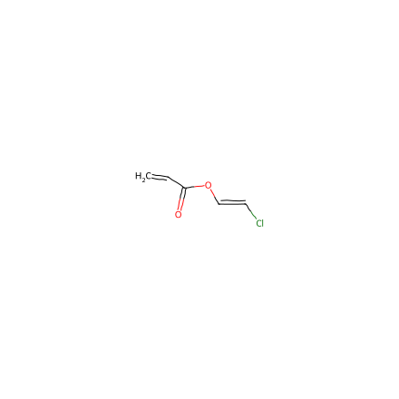 C=CC(=O)OC=CCl